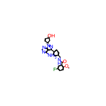 COc1ccc(F)cc1C(=O)NCc1ccc(-c2nn([C@@H]3C=C[C@@H](O)C3)c3ncnc(N)c23)cc1